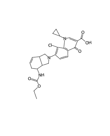 CCOC(=O)NC1CC=CC2CN(c3ccc4c(=O)c(C(=O)O)cn(C5CC5)c4c3Cl)CC21